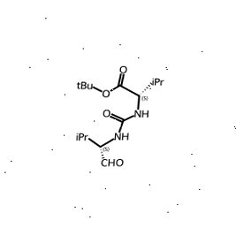 CC(C)[C@H](NC(=O)N[C@H](C=O)C(C)C)C(=O)OC(C)(C)C